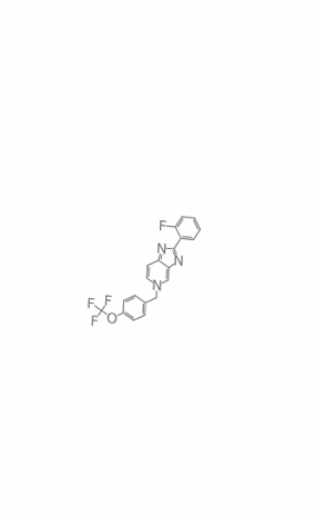 Fc1ccccc1-c1nc2ccn(Cc3ccc(OC(F)(F)F)cc3)cc-2n1